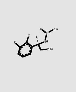 CC(C)(C)[S+]([O-])N[C@@](C)(CC=O)c1cccc(F)c1Cl